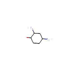 NC1CCC(O)C(N)C1